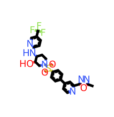 Cc1nnc(-c2cc(-c3ccc(S(=O)(=O)N4CCC(Nc5ccc(C(F)(F)F)cn5)C(O)C4)cc3)ccn2)o1